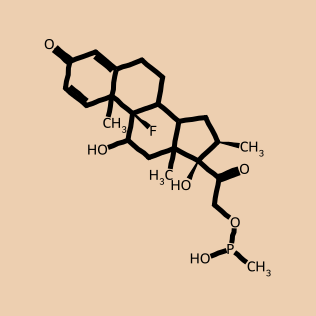 C[C@@H]1CC2C3CCC4=CC(=O)C=CC4(C)[C@@]3(F)C(O)CC2(C)[C@@]1(O)C(=O)COP(C)O